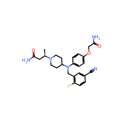 C[C@H](CC(N)=O)N1CCC(N(Cc2cc(C#N)ccc2F)c2ccc(OCC(N)=O)cc2)CC1